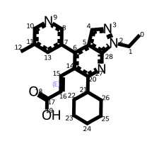 CCn1ncc2c(-c3cncc(C)c3)c(/C=C/C(=O)O)c(C3CCCCC3)nc21